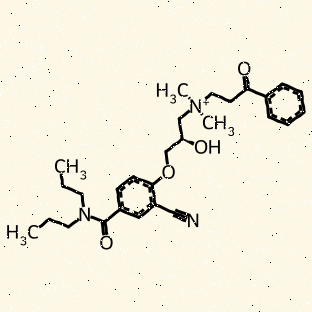 CCCN(CCC)C(=O)c1ccc(OC[C@H](O)C[N+](C)(C)CCC(=O)c2ccccc2)c(C#N)c1